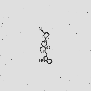 N#Cc1ccnc(N2CCC3(CCCN(Cc4c[nH]c5ccccc45)C3=O)CC2)n1